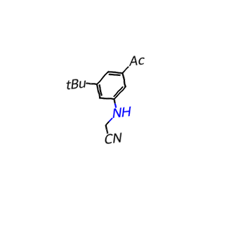 CC(=O)c1cc(NCC#N)cc(C(C)(C)C)c1